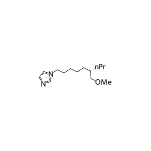 CCC[C@@H](CCCCCn1ccnc1)COC